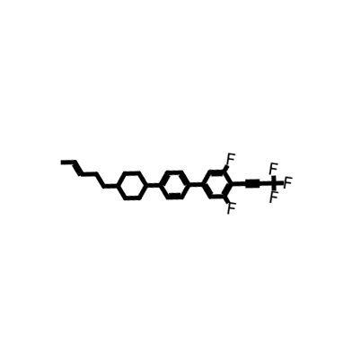 C/C=C/CCC1CCC(c2ccc(-c3cc(F)c(C#CC(F)(F)F)c(F)c3)cc2)CC1